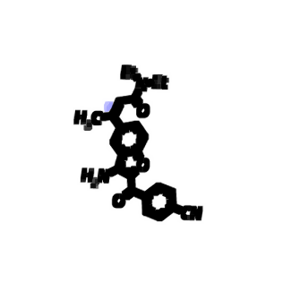 CCN(CC)C(=O)/C=C(/C)c1ccc2oc(C(=O)c3ccc(C#N)cc3)c(N)c2c1